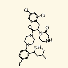 CC(C)CC(N)c1cc(F)ccc1N1CCN(C(=O)C(Cc2ccc(Cl)cc2Cl)N2CCNCC2=O)CC1